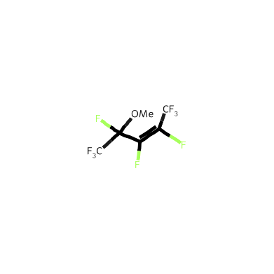 COC(F)(/C(F)=C(/F)C(F)(F)F)C(F)(F)F